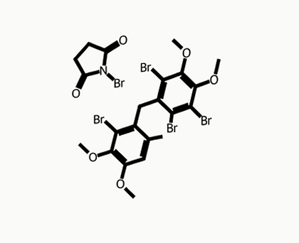 COc1cc(C)c(Cc2c(Br)c(Br)c(OC)c(OC)c2Br)c(Br)c1OC.O=C1CCC(=O)N1Br